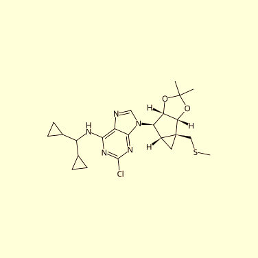 CSC[C@@]12C[C@@H]1[C@@H](n1cnc3c(NC(C4CC4)C4CC4)nc(Cl)nc31)[C@@H]1OC(C)(C)O[C@@H]12